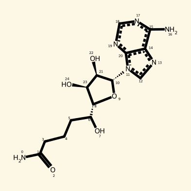 NC(=O)CCCC(O)[C@H]1O[C@@H](n2cnc3c(N)ncnc32)[C@H](O)[C@@H]1O